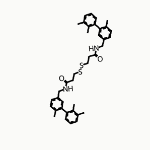 Cc1ccc(CNC(=O)CCSSCCC(=O)NCc2ccc(C)c(-c3cccc(C)c3C)c2)cc1-c1cccc(C)c1C